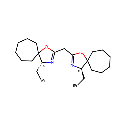 CC(C)C[C@H]1N=C(CC2=N[C@H](CC(C)C)C3(CCCCCC3)O2)OC12CCCCCC2